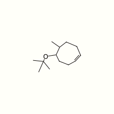 CC1CCC=CCCC1OC(C)(C)C